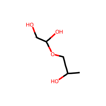 CC(O)COC(O)[CH]O